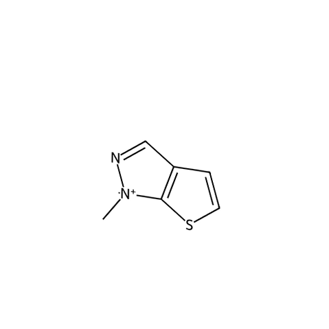 C[N+]1N=Cc2ccsc21